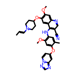 CC=CN1CCC(Oc2cc3c(Nc4cc(C)c(Oc5ccn6ncnc6c5)cc4OC)c(C#N)cnc3cc2OC)CC1